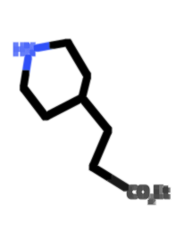 CCOC(=O)CCC1CCNCC1